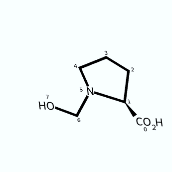 O=C(O)[C@@H]1CCCN1CO